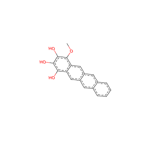 COc1c(O)c(O)c(O)c2cc3cc4ccccc4cc3cc12